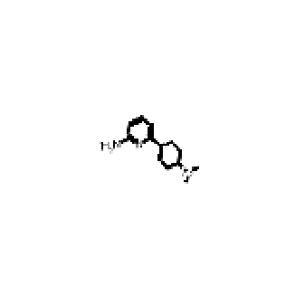 C[As](C)C1CC=C(c2cccc(N)n2)CC1